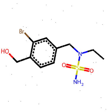 CCN(Cc1ccc(CO)c(Br)c1)S(N)(=O)=O